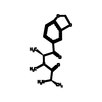 C[C@H](N)C(=O)N(C)[C@H](C)C(=O)c1ccc2c(c1)OCO2